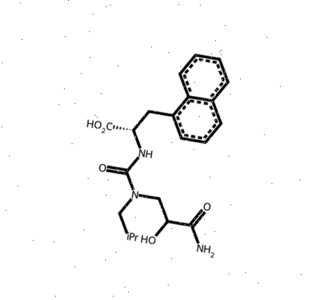 CC(C)CN(CC(O)C(N)=O)C(=O)N[C@@H](Cc1cccc2ccccc12)C(=O)O